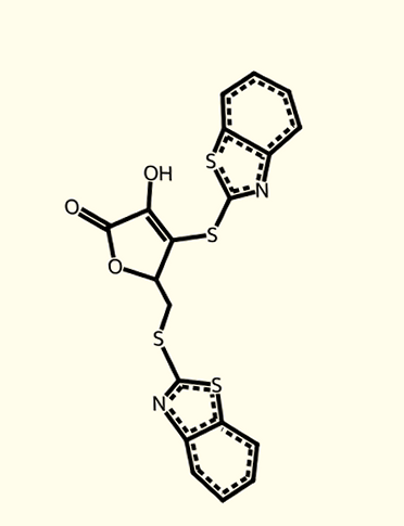 O=C1OC(CSc2nc3ccccc3s2)C(Sc2nc3ccccc3s2)=C1O